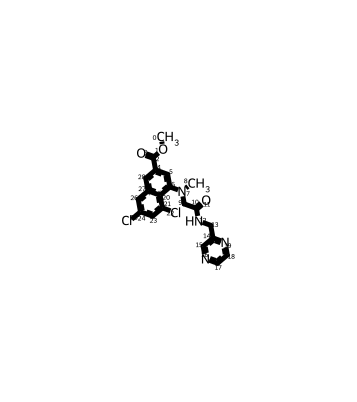 COC(=O)c1cc(N(C)CC(=O)NCc2cnccn2)c2c(Cl)cc(Cl)cc2c1